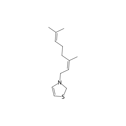 CC(C)=CCCC(C)=CCN1C=CSC1